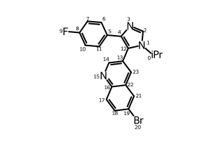 CC(C)n1cnc(-c2ccc(F)cc2)c1-c1cnc2ccc(Br)cc2c1